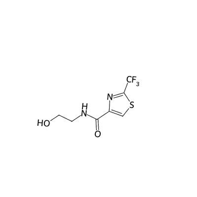 O=C(NCCO)c1csc(C(F)(F)F)n1